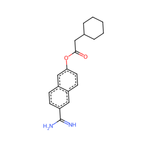 N=C(N)c1ccc2cc(OC(=O)CC3CCCCC3)ccc2c1